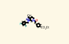 CCOC(=O)[C@H]1CC[C@H](CC(=O)N2CCc3c(C)nn(Cc4ccc(F)cc4F)c3C2)CC1